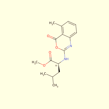 COC(=O)[C@H](CC(C)C)Nc1nc2cccc(C)c2c(=O)o1